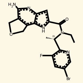 CCN(C(=O)c1cc2nc(N)c3c(c2[nH]1)COC3)[C@@H](C)c1ncc(Br)cc1F